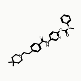 CN(C(=O)Oc1ccc(NC(=O)c2ccc(CCN3CCC(C)(C)CC3)cc2)cn1)c1ccccc1